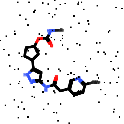 CCCNC(=O)OC1CCC(c2cc(NC(=O)Cc3ccc(OC)nc3)n[nH]2)C1